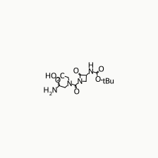 CC(C)(C)OC(=O)NC1CN(C(=O)N(CC(N)=O)CC(=O)O)C1=O